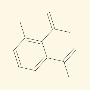 C=C(C)c1cccc(C)c1C(=C)C